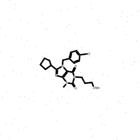 COCCCn1c(=O)c2c(nc(C3CCCC3)n2Cc2ccc(Cl)cc2)n(C)c1=O